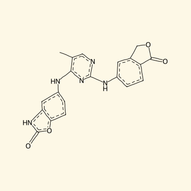 Cc1cnc(Nc2ccc3c(c2)COC3=O)nc1Nc1ccc2oc(=O)[nH]c2c1